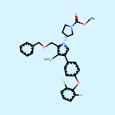 CCOC(=O)c1c(-c2ccc(Oc3c(F)cccc3F)cc2)cn([C@@H]2CCN(C(=O)OC(C)(C)C)C2)c1COCc1ccccc1